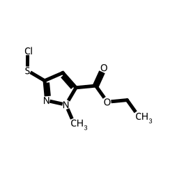 CCOC(=O)c1cc(SCl)nn1C